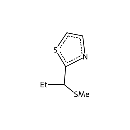 CCC(SC)c1nccs1